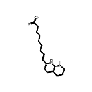 O=C(O)CCCCCCCCC1=CC=C2CCCNC2N1